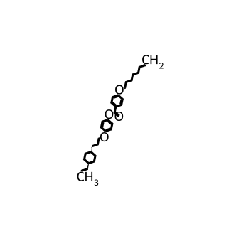 C=CCCCCCCOc1ccc(C(=O)Oc2ccc(OCCC[C@H]3CC[C@H](CCC)CC3)cc2)cc1